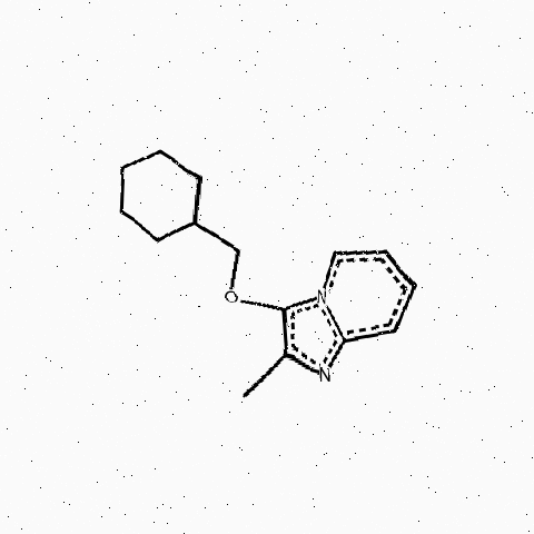 Cc1nc2ccccn2c1OCC1CCCCC1